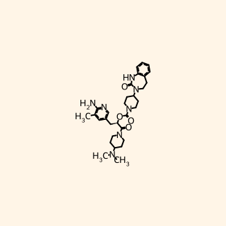 Cc1cc(C[C@@H](OC(=O)N2CCC(N3CCc4ccccc4NC3=O)CC2)C(=O)N2CCC(N(C)C)CC2)cnc1N